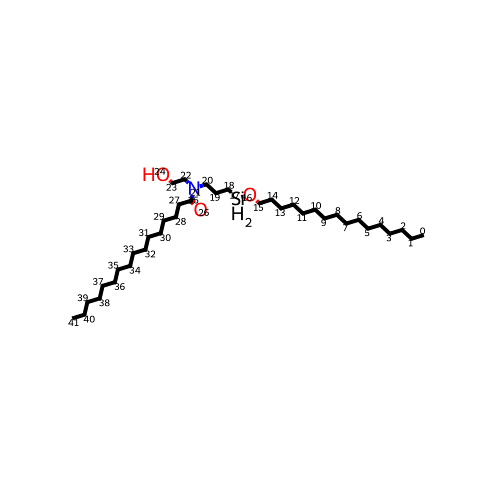 CCCCCCCCCCCCCCCCO[SiH2]CCCN(CCO)C(=O)CCCCCCCCCCCCCCC